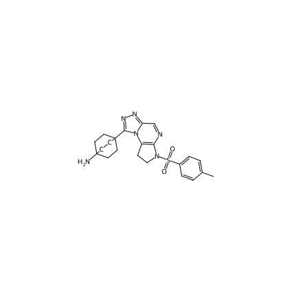 Cc1ccc(S(=O)(=O)N2CCc3c2ncc2nnc(C45CCC(N)(CC4)CC5)n32)cc1